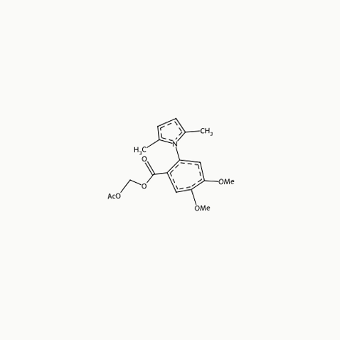 COc1cc(C(=O)OCOC(C)=O)c(-n2c(C)ccc2C)cc1OC